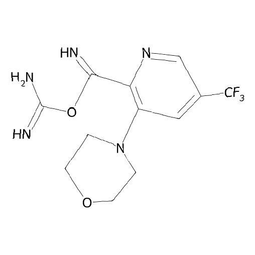 N=C(N)OC(=N)c1ncc(C(F)(F)F)cc1N1CCOCC1